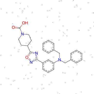 O=C(O)N1CCC(c2nc(-c3cccc(N(Cc4ccccc4)Cc4ccccc4)c3)no2)CC1